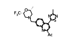 CC(=O)c1cc(-c2nc(C)ns2)c2ccc(CN3C[C@@H](C)O[C@@H](C(F)(F)F)C3)cc2n1